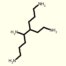 NCCCC(N)C(CCN)CCCN